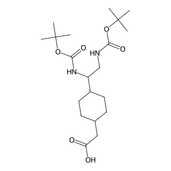 CC(C)(C)OC(=O)NCC(NC(=O)OC(C)(C)C)C1CCC(CC(=O)O)CC1